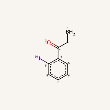 BCC(=O)c1ccccc1I